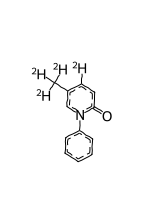 [2H]c1cc(=O)n(-c2ccccc2)cc1C([2H])([2H])[2H]